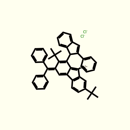 CC(C)(C)c1ccc2c(c1)[C]([Zr+2])=c1c-2cc(=C(c2ccccc2)c2ccccc2)c(C(C)(C)C)c1C1C(c2ccccc2)=Cc2ccccc21.[Cl-].[Cl-]